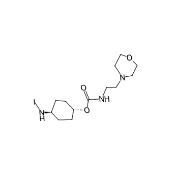 O=C(NCCN1CCOCC1)O[C@H]1CC[C@H](NI)CC1